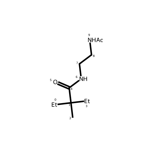 CCC(C)(CC)C(=O)NCCNC(C)=O